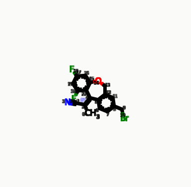 C/C(C#N)=C1\c2ccc(CBr)cc2COc2cc(F)cc(F)c21